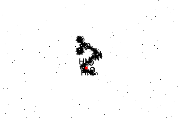 CCC(=O)NCCC(C)(C)OC(C)(C)CCNC(=O)CCCn1nnnc1C(C)(C)CCCCOc1cc(-c2ccccc2)cc(-c2ccccc2)n1